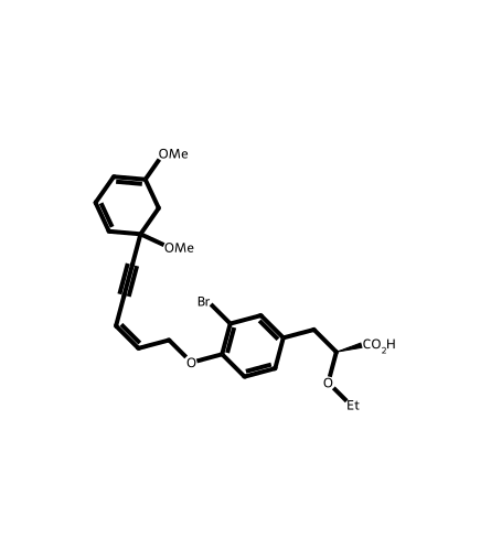 CCO[C@@H](Cc1ccc(OC/C=C\C#CC2(OC)C=CC=C(OC)C2)c(Br)c1)C(=O)O